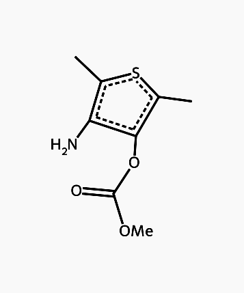 COC(=O)Oc1c(C)sc(C)c1N